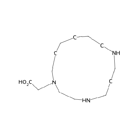 O=C(O)CN1CCCCCCNCCCNCC1